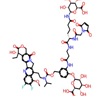 CC[C@@]1(O)C(=O)OCc2c1cc1n(c2=O)Cc2c-1nc1cc(F)c(F)c(OC)c1c2CCN(C(=O)OCc1ccc(O[C@@H]2O[C@H](C(=O)O)[C@@H](O)[C@H](O)[C@H]2O)c(NC(=O)CCNC(=O)[C@H](CCCC(=O)N[C@@H]2O[C@H](C(=O)O)[C@@H](O)[C@H](O)[C@H]2O)NC(=O)CN2C(=O)C=CC2=O)c1)C(C)C